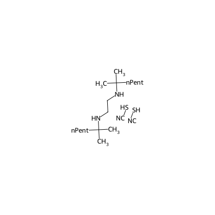 CCCCCC(C)(C)NCCNC(C)(C)CCCCC.N#CS.N#CS